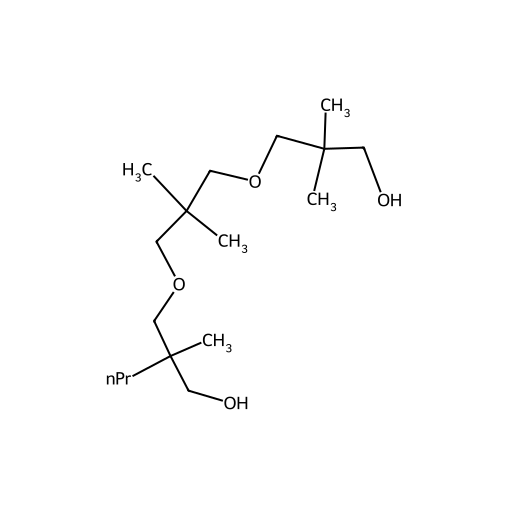 CCCC(C)(CO)COCC(C)(C)COCC(C)(C)CO